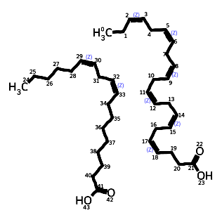 CC/C=C\C/C=C\C/C=C\C/C=C\C/C=C\C/C=C\CCC(=O)O.CCCCC/C=C\C/C=C\CCCCCCCC(=O)O